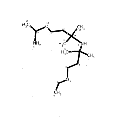 CCOCCC(C)(C)NC(C)(C)CCOC(C)N